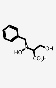 O=C(O)C(CO)N(O)Cc1ccccc1